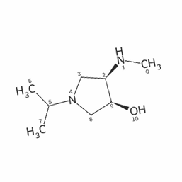 CN[C@@H]1CN(C(C)C)C[C@@H]1O